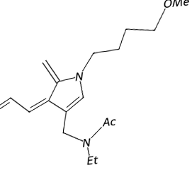 C=c1/c(=C\C=C/C(C)CC)c(CN(CC)C(C)=O)cn1CCCCOC